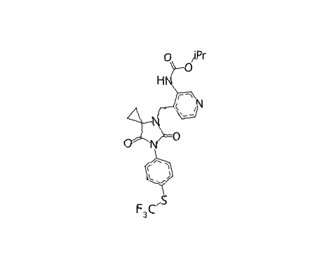 CC(C)OC(=O)Nc1cnccc1CN1C(=O)N(c2ccc(SC(F)(F)F)cc2)C(=O)C12CC2